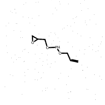 C=CCOPOCC1CO1